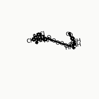 COc1cc(C(=O)NCCOCCOCCOCCOCCC(=O)N[C@H](C(=O)N[C@@H](C)C(=O)Nc2ccc(COC(C)=O)cc2)C(C)C)ccc1NC(=O)[C@@H]1N[C@@H](CC(C)(C)C)[C@](C#N)(c2ccc(Cl)cc2F)[C@H]1c1cccc(Cl)c1F